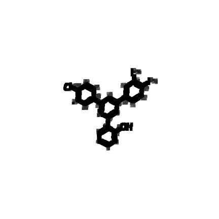 Oc1ccccc1-c1cc(-c2ccc(F)c(F)c2)cc(-c2ccc(Cl)cc2)n1